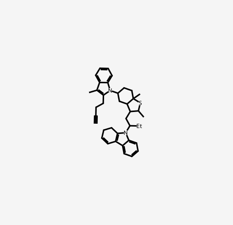 C#CCCc1c(C)c2ccccc2n1C1CCC2(C)SC(C)C(CC(CC)n3c4c(c5ccccc53)C=CCC4)C2C1